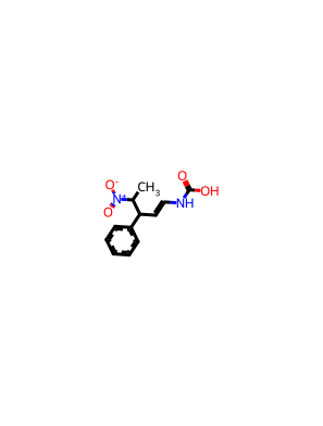 CC(C(/C=C/NC(=O)O)c1ccccc1)[N+](=O)[O-]